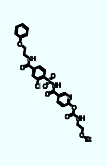 CCOCCNC(=O)Oc1ccc(C(=O)NS(=O)(=O)c2ccc(C(=O)NCCOc3ccccc3)cc2Cl)cn1